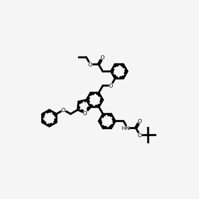 CCOC(=O)Cc1ccccc1OCc1cc(-c2cccc(CNC(=O)OC(C)(C)C)c2)c2oc(COc3ccccc3)cc2c1